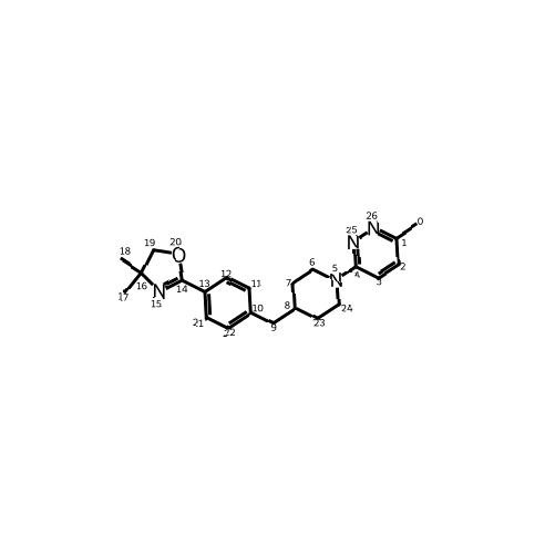 Cc1ccc(N2CCC(Cc3ccc(C4=NC(C)(C)CO4)cc3)CC2)nn1